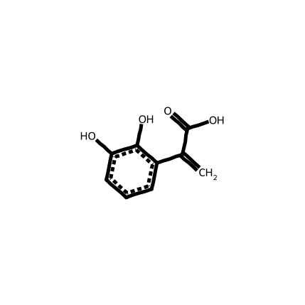 C=C(C(=O)O)c1cccc(O)c1O